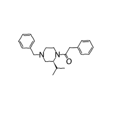 CC(C)[C@H]1CN(Cc2ccccc2)CCN1C(=O)Cc1ccccc1